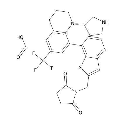 O=C1CCC(=O)N1Cc1cc2nccc(-c3cc(C(F)(F)F)cc4c3N([C@H]3CCNC3)CCC4)c2s1.O=CO